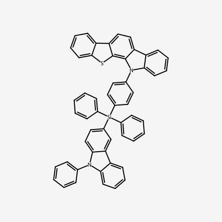 c1ccc(-n2c3ccccc3c3cc([Si](c4ccccc4)(c4ccccc4)c4ccc(-n5c6ccccc6c6ccc7c8ccccc8sc7c65)cc4)ccc32)cc1